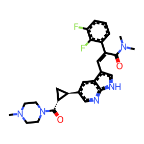 CN1CCN(C(=O)[C@@H]2C[C@H]2c2cnc3[nH]cc(C=C(C(=O)N(C)C)c4cccc(F)c4F)c3c2)CC1